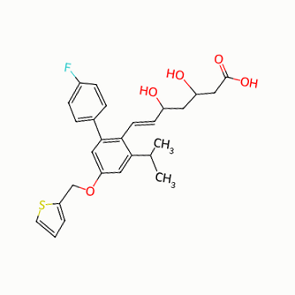 CC(C)c1cc(OCc2cccs2)cc(-c2ccc(F)cc2)c1C=CC(O)CC(O)CC(=O)O